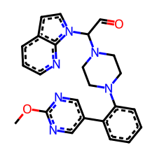 COc1ncc(-c2ccccc2N2CCN(C(C=O)n3ccc4cccnc43)CC2)cn1